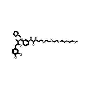 COCCOCCOCCOCCOCCNC(=O)Nc1cccc([C@@H](CN2CCCC2)N(C)C(=O)Cc2ccc(Cl)c(Cl)c2)c1